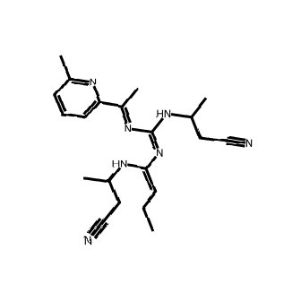 CC/C=C(/N=C(\N=C(/C)c1cccc(C)n1)NC(C)CC#N)NC(C)CC#N